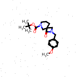 COc1ccc(CN2CC3(CCCN(C(=O)OC(C)(C)C)C3)C2=O)cc1